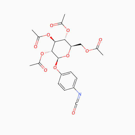 CC(=O)OC[C@H]1O[C@@H](Oc2ccc(N=C=O)cc2)[C@H](OC(C)=O)[C@@H](OC(C)=O)[C@@H]1OC(C)=O